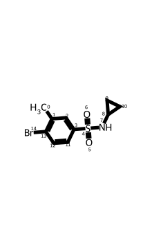 Cc1cc(S(=O)(=O)NC2CC2)ccc1Br